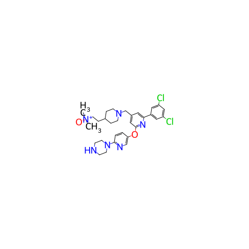 C[N+](C)([O-])CCC1CCN(Cc2cc(Oc3ccc(N4CCNCC4)nc3)nc(-c3cc(Cl)cc(Cl)c3)c2)CC1